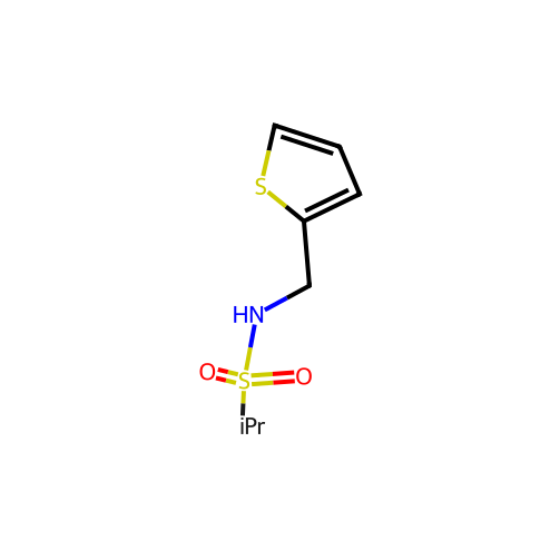 CC(C)S(=O)(=O)NCc1cccs1